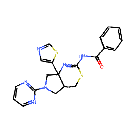 O=C(NC1=NC2(c3cncs3)CN(c3ncccn3)CC2CS1)c1ccccc1